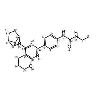 CCNC(=O)Nc1ccc(-c2nc3c(c(N4CC5CC4CO5)n2)CCCO3)cc1